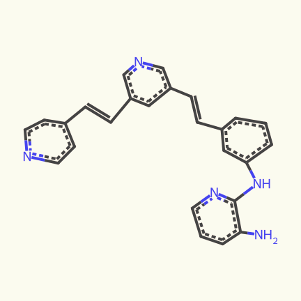 Nc1cccnc1Nc1cccc(C=Cc2cncc(C=Cc3ccncc3)c2)c1